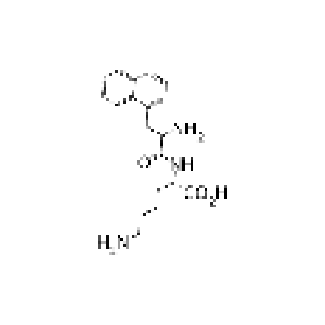 NCCCC[C@H](NC(=O)C(N)Cc1cccc2ccccc12)C(=O)O